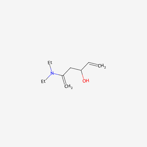 C=CC(O)CC(=C)N(CC)CC